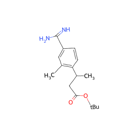 Cc1cc(C(=N)N)ccc1C(C)CC(=O)OC(C)(C)C